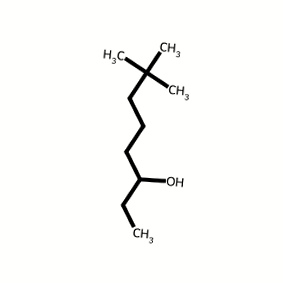 CCC(O)CCCC(C)(C)C